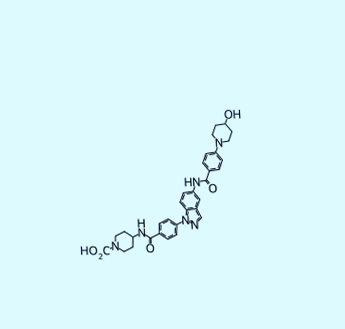 O=C(Nc1ccc2c(cnn2-c2ccc(C(=O)NC3CCN(C(=O)O)CC3)cc2)c1)c1ccc(N2CCC(O)CC2)cc1